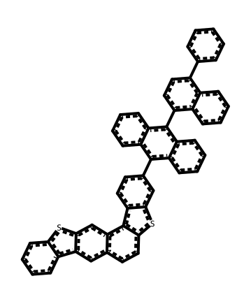 c1ccc(-c2ccc(-c3c4ccccc4c(-c4ccc5c(c4)sc4ccc6cc7c(cc6c45)sc4ccccc47)c4ccccc34)c3ccccc23)cc1